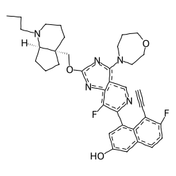 C#Cc1c(F)ccc2cc(O)cc(-c3ncc4c(N5CCCOCC5)nc(OC[C@]56CCC[C@H]5N(CCC)CCC6)nc4c3F)c12